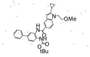 COCCn1c(C2CC2)cc2cc(C(=O)Nc3cc(-c4ccccc4)ccc3NC(=O)OC(C)(C)C)ccc21